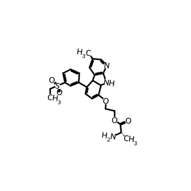 CCS(=O)(=O)c1cccc(C2=CC=C(OCCOC(=O)[C@H](C)N)C3Nc4ncc(C)cc4C23)c1